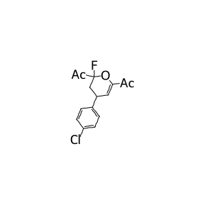 CC(=O)C1=CC(c2ccc(Cl)cc2)CC(F)(C(C)=O)O1